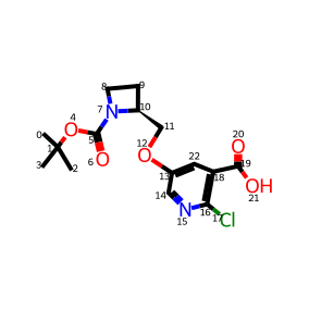 CC(C)(C)OC(=O)N1CC[C@H]1COc1cnc(Cl)c(C(=O)O)c1